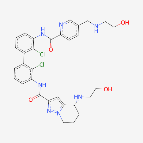 O=C(Nc1cccc(-c2cccc(NC(=O)c3cc4n(n3)CCC[C@H]4NCCO)c2Cl)c1Cl)c1ccc(CNCCO)cn1